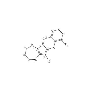 Fc1cccc(Cl)c1Cc1sc2c(c1Br)CCCCC2